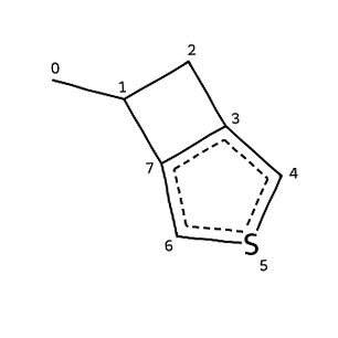 CC1Cc2cscc21